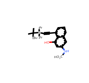 CC(C)[Si](C#Cc1cccc2cc(NC(=O)O)cc(O)c12)(C(C)C)C(C)(C)C(C)(C)C